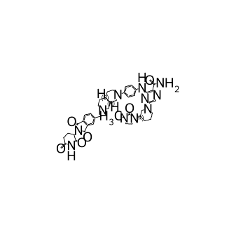 CN1CCN([C@@H]2CCCN(c3cnc(C(N)=O)c(Nc4ccc(N5CC[C@@H]6CCN(Cc7ccc8c(c7)C(=O)N(C7CCC(=O)NC7=O)C8=O)C[C@@H]6C5)cc4)n3)C2)C1=O